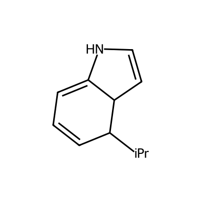 CC(C)C1C=CC=C2NC=CC21